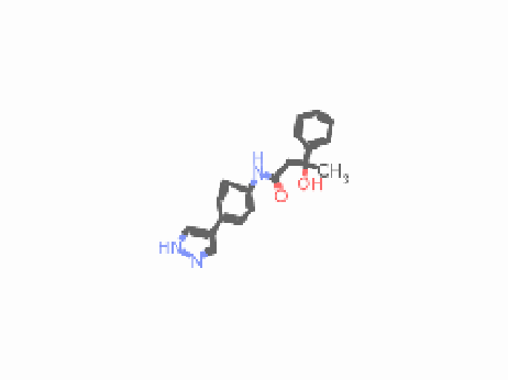 CC(O)(CC(=O)Nc1ccc(-c2cn[nH]c2)cc1)c1ccccc1